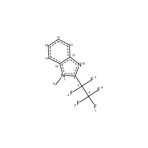 Cn1c(C(F)(F)C(F)(F)F)nc2ccccc21